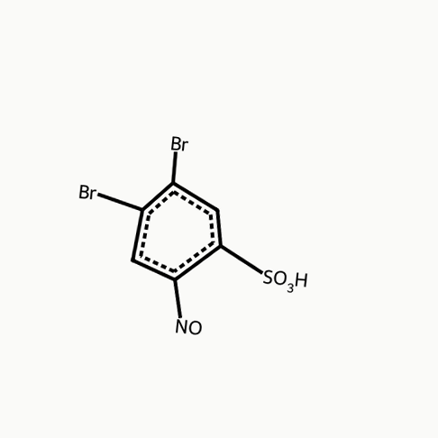 O=Nc1cc(Br)c(Br)cc1S(=O)(=O)O